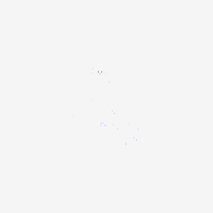 CCOC(=O)c1[nH]c(-c2ccncc2)nc1-c1ccc(OC)cc1